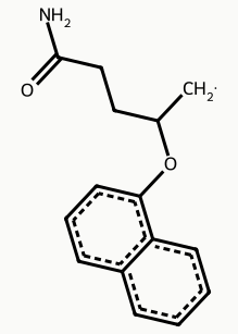 [CH2]C(CCC(N)=O)Oc1cccc2ccccc12